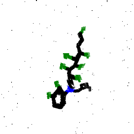 CCN(CC(F)C(F)C(F)C(F)C(F)CCCF)c1cccc(F)c1F